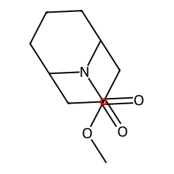 COC(=O)N1C2CCCC1CC(=O)C2